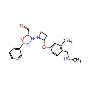 CNCc1ccc(OC2CCN2N2N=C(c3ccccc3)OC2C=O)cc1C